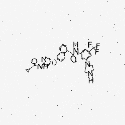 O=C(Nc1cc(N2CCNCC2)cc(C(F)(F)F)c1)c1cccc2cc(Oc3ccnc(NC(=O)C4CC4)c3)ccc12